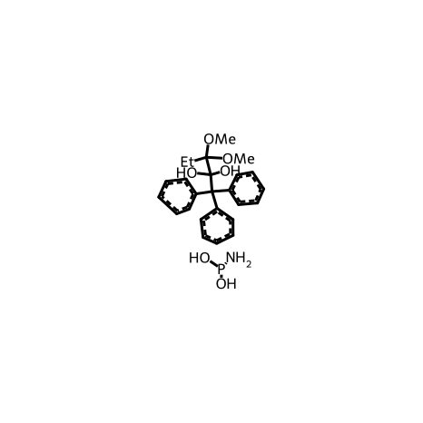 CCC(OC)(OC)C(O)(O)C(c1ccccc1)(c1ccccc1)c1ccccc1.NP(O)O